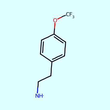 [NH]CCc1ccc(OC(F)(F)F)cc1